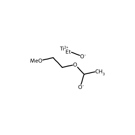 CC[O-].COCCOC(C)[O-].[Ti+2]